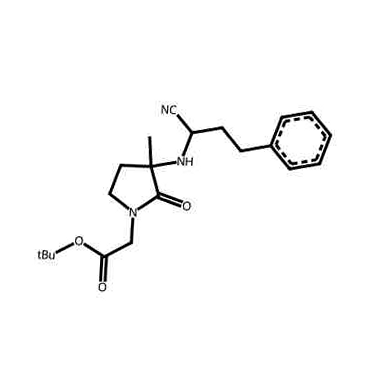 CC(C)(C)OC(=O)CN1CCC(C)(NC(C#N)CCc2ccccc2)C1=O